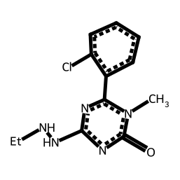 CCNNc1nc(-c2ccccc2Cl)n(C)c(=O)n1